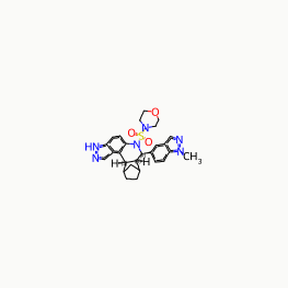 Cn1ncc2cc([C@H]3[C@@H]4C5CCC(C5)[C@@H]4c4c(ccc5[nH]ncc45)N3S(=O)(=O)N3CCOCC3)ccc21